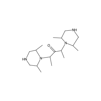 CC1CNCC(C)N1C(C)C(=O)C(C)N1C(C)CNCC1C